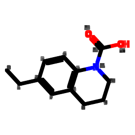 CCc1ccc2c(c1)CCCN2C(=O)O